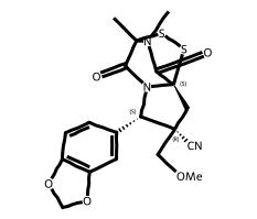 COC[C@]1(C#N)C[C@@]23SSC(C)(C(=O)N2[C@H]1c1ccc2c(c1)OCO2)N(C)C3=O